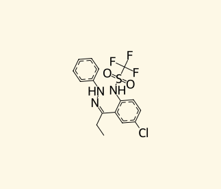 CCC(=NNc1ccccc1)c1cc(Cl)ccc1NS(=O)(=O)C(F)(F)F